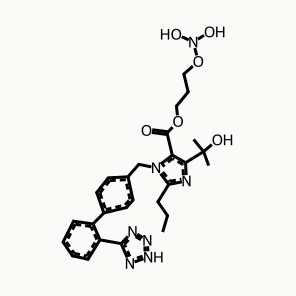 CCCc1nc(C(C)(C)O)c(C(=O)OCCCON(O)O)n1Cc1ccc(-c2ccccc2-c2nn[nH]n2)cc1